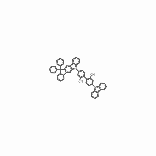 N#Cc1cc(-n2c3ccccc3c3ccccc32)ccc1-c1ccc(-n2c3ccccc3c3cc4c(cc32)-c2ccccc2C4(c2ccccc2)c2ccccc2)cc1C#N